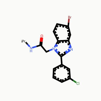 CC(C)NC(=O)Cn1c(-c2cccc(Cl)c2)nc2cc(Br)ccc21